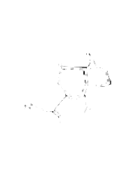 CNC(=O)c1cnc2[nH]ccc2c1C(C)C